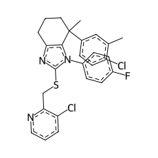 Cc1cc(C2(C)CCCc3nc(SCc4ncccc4Cl)n(-c4ccc(F)cc4)c32)ccc1Cl